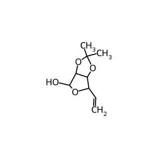 C=CC1OC(O)C2OC(C)(C)OC12